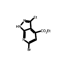 CCOC(=O)c1cc(Br)nc2[nH]nc(CC)c12